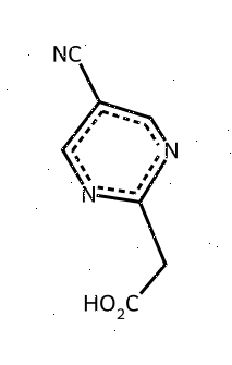 N#Cc1cnc(CC(=O)O)nc1